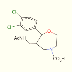 CC(=O)NCC1CN(C(=O)O)CCOC1c1ccc(Cl)c(Cl)c1